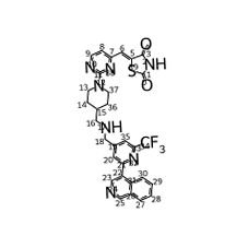 O=C1NC(=O)C(=Cc2ccnc(N3CCC(CNCc4cc(-c5cncc6ccccc56)nc(C(F)(F)F)c4)CC3)n2)S1